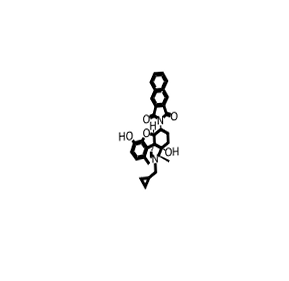 Cc1ccc(O)c2c1[C@]13CCN(CC4CC4)[C@H](C)[C@]1(O)CC[C@@H](N1C(=O)c4cc5ccccc5cc4C1=O)[C@@H]3O2